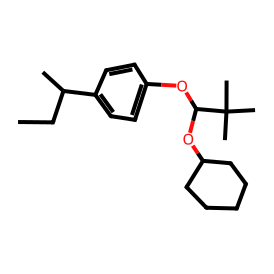 CCC(C)c1ccc(OC(OC2CCCCC2)C(C)(C)C)cc1